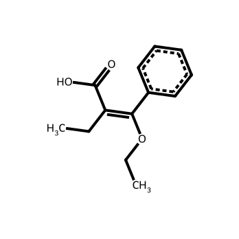 CCOC(=C(CC)C(=O)O)c1ccccc1